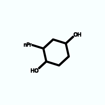 CCCC1CC(O)CCC1O